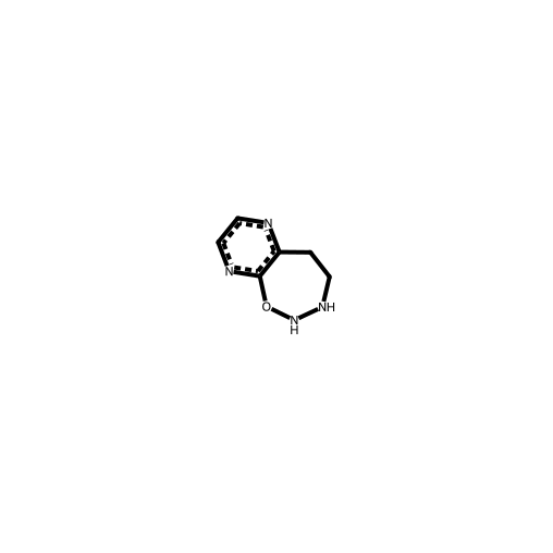 c1cnc2c(n1)CCNNO2